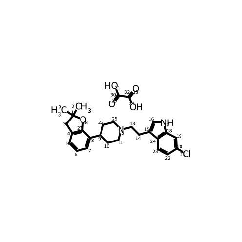 CC1(C)Cc2cccc(C3CCN(CCc4c[nH]c5cc(Cl)ccc45)CC3)c2O1.O=C(O)C(=O)O